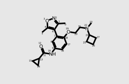 Cc1noc(C)c1-c1cc(NC(=O)C2CC2)ccc1OCCN(C)C1CCC1